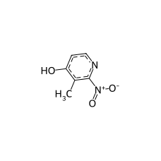 Cc1c(O)ccnc1[N+](=O)[O-]